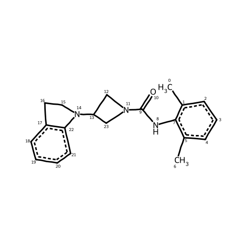 Cc1cccc(C)c1NC(=O)N1CC(N2CCc3ccccc32)C1